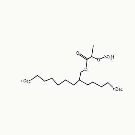 CCCCCCCCCCCCCCCCC(CCCCCCCCCCCCCC)COC(=O)C(C)OS(=O)(=O)O